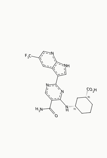 NC(=O)c1cnc(-c2c[nH]c3ncc(C(F)(F)F)cc23)nc1N[C@H]1CCC[C@@H](C(=O)O)C1